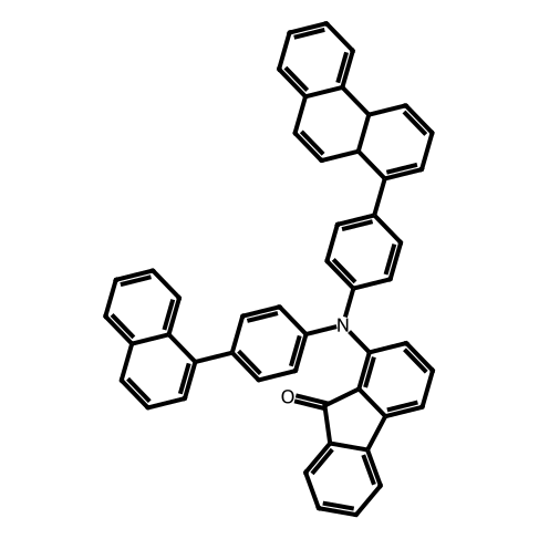 O=C1c2ccccc2-c2cccc(N(c3ccc(C4=CC=CC5c6ccccc6C=CC45)cc3)c3ccc(-c4cccc5ccccc45)cc3)c21